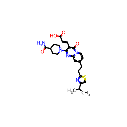 CC(C)c1csc(CCc2ccn3c(=O)c(/C=C/C(=O)O)c(N4CCC(C(N)=O)CC4)nc3c2)n1